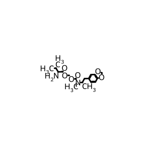 CC(C)[C@H](N)C(=O)OCOC(=O)N(C)C(C)Cc1ccc2c(c1)OCO2